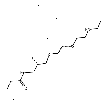 CCNCCOCCOCC(F)CNC(=O)CC